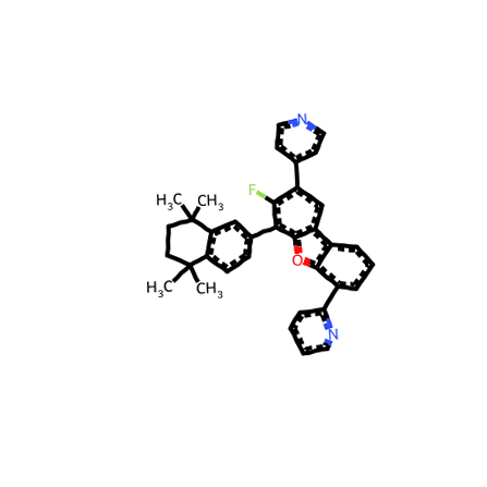 CC1(C)CCC(C)(C)c2cc(-c3c(F)c(-c4ccncc4)cc4c3oc3c(-c5ccccn5)cccc34)ccc21